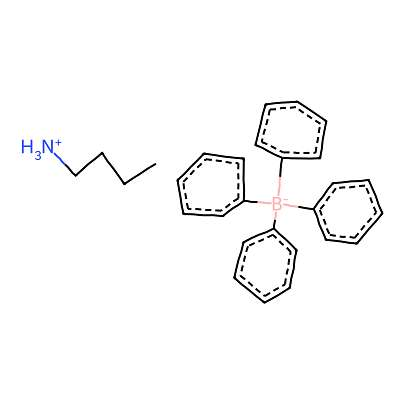 CCCC[NH3+].c1ccc([B-](c2ccccc2)(c2ccccc2)c2ccccc2)cc1